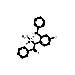 NS(=O)(=O)C(C(=O)c1ccccc1)c1ccc(Cl)cc1C(=O)c1ccccc1